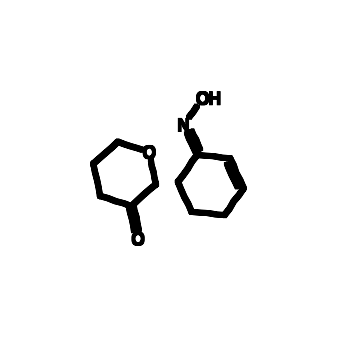 O=C1CCCOC1.ON=C1C=CCCC1